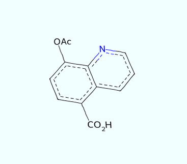 CC(=O)Oc1ccc(C(=O)O)c2cccnc12